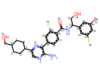 Nc1ncc(C2CCC(CO)CC2)nc1-c1ccc(C(=O)NC(CO)c2cc(F)cc(Br)c2)c(F)c1